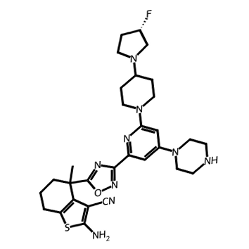 CC1(c2nc(-c3cc(N4CCNCC4)cc(N4CCC(N5CC[C@H](F)C5)CC4)n3)no2)CCCc2sc(N)c(C#N)c21